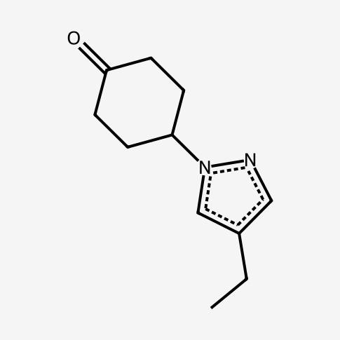 CCc1cnn(C2CCC(=O)CC2)c1